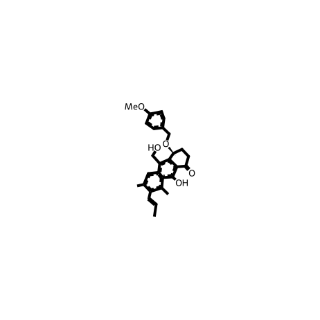 C/C=C/c1c(C)cc2c(CO)c3c(c(O)c2c1C)C(=O)CC[C@@H]3OCc1ccc(OC)cc1